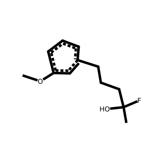 COc1cccc(CCCC(C)(O)F)c1